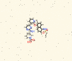 CCCS(=O)(=O)Nc1c(C)ccc2c(Oc3ncccc3-c3ccnc(N[C@H]4CCCN(C(=O)O)C4)n3)c(C)ccc12